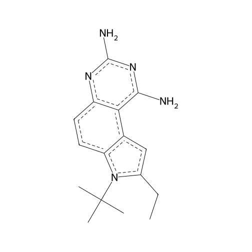 CCc1cc2c3c(N)nc(N)nc3ccc2n1C(C)(C)C